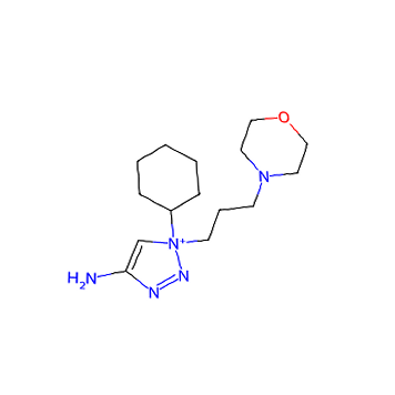 NC1=C[N+](CCCN2CCOCC2)(C2CCCCC2)N=N1